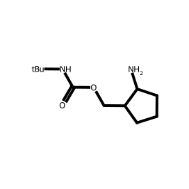 CC(C)(C)NC(=O)OCC1CCCC1N